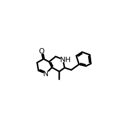 CC1C2=C(CNC1Cc1ccccc1)C(=O)CC=N2